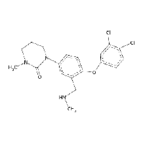 CNCc1cc(N2CCCN(C)C2=O)ccc1Oc1ccc(Cl)c(Cl)c1